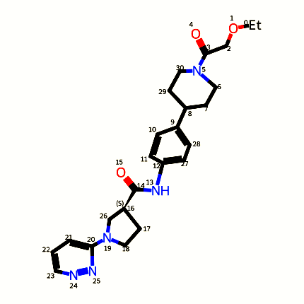 CCOCC(=O)N1CCC(c2ccc(NC(=O)[C@H]3CCN(c4cccnn4)C3)cc2)CC1